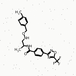 Cc1ccc(CONCC(C)NC(=O)c2ccc(-c3noc(C(F)(F)F)n3)cc2)cc1